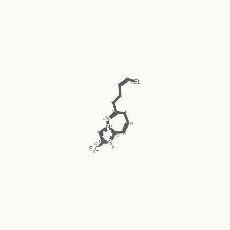 CC/C=C\CCC1=Nn2cc(C(F)(F)F)nc2C=CC1